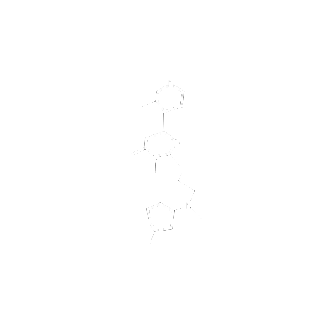 CCN(CCOc1nc(-c2ccncc2F)cc(=O)n1C)c1cccc(C)c1